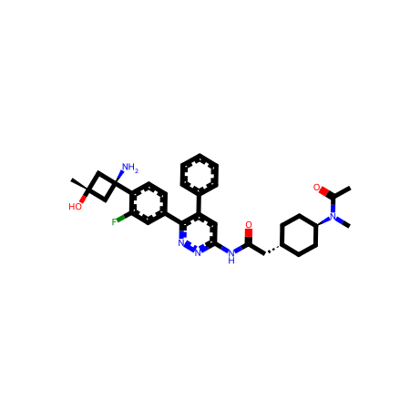 CC(=O)N(C)[C@H]1CC[C@H](CC(=O)Nc2cc(-c3ccccc3)c(-c3ccc([C@]4(N)C[C@](C)(O)C4)c(F)c3)nn2)CC1